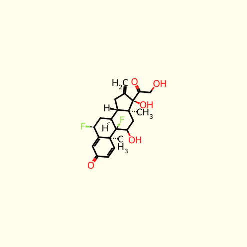 C=C1C[C@H]2[C@@H]3C[C@H](F)C4=CC(=O)C=C[C@]4(C)[C@@]3(F)C(O)C[C@]2(C)[C@@]1(O)C(=O)CO